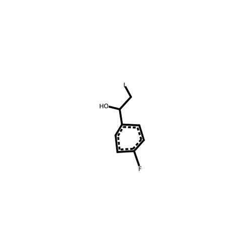 OC(CI)c1ccc(F)cc1